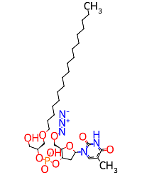 CCCCCCCCCCCCCCCCCCOC[C@H](CO)OP(=O)(O)O[C@H]1C[C@H](n2cc(C)c(=O)[nH]c2=O)O[C@@H]1CON=[N+]=[N-]